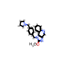 COc1nc2cnc3ccccc3c2n1Cc1ccc(CN2CCCC2)cc1